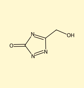 O=C1N=NC(CO)=N1